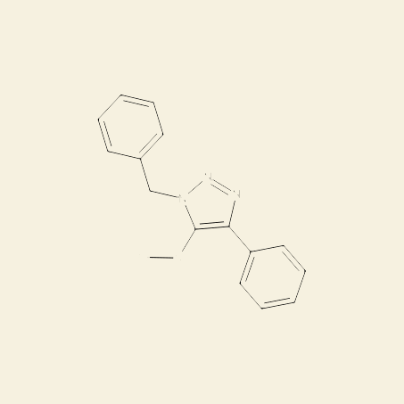 CCCCSc1c(-c2ccccc2)nnn1Cc1ccccc1